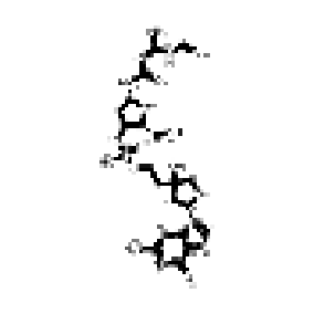 N/C(=N/C(=O)N[C@H]1CC(OP(=O)(O)OCCC2(O)CO[C@@H](n3cnc4c(=O)[nH]c(N)nc43)C2)[C@@H](CO)O1)NC=O